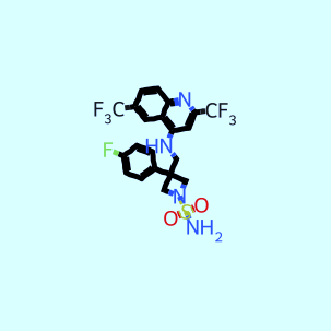 NS(=O)(=O)N1CC(CNc2cc(C(F)(F)F)nc3ccc(C(F)(F)F)cc23)(c2ccc(F)cc2)C1